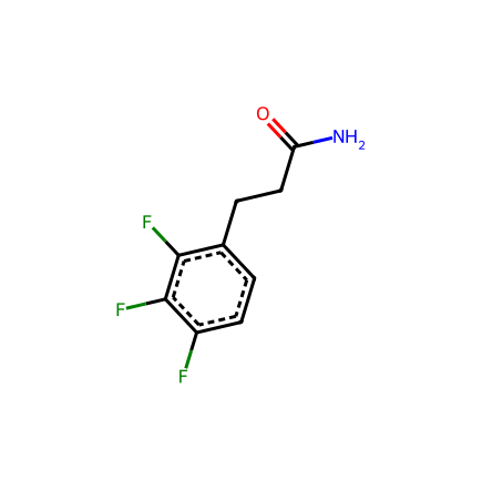 NC(=O)CCc1ccc(F)c(F)c1F